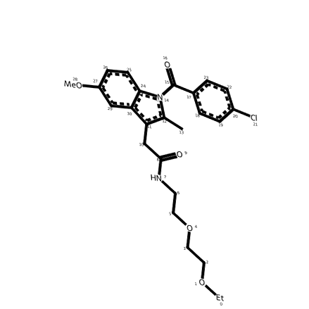 CCOCCOCCNC(=O)Cc1c(C)n(C(=O)c2ccc(Cl)cc2)c2ccc(OC)cc12